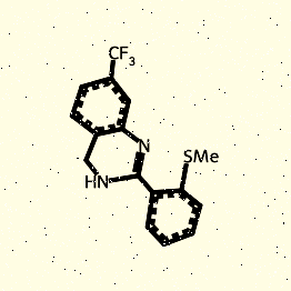 CSc1ccccc1C1=Nc2cc(C(F)(F)F)ccc2CN1